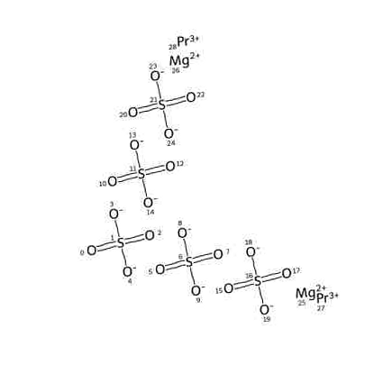 O=S(=O)([O-])[O-].O=S(=O)([O-])[O-].O=S(=O)([O-])[O-].O=S(=O)([O-])[O-].O=S(=O)([O-])[O-].[Mg+2].[Mg+2].[Pr+3].[Pr+3]